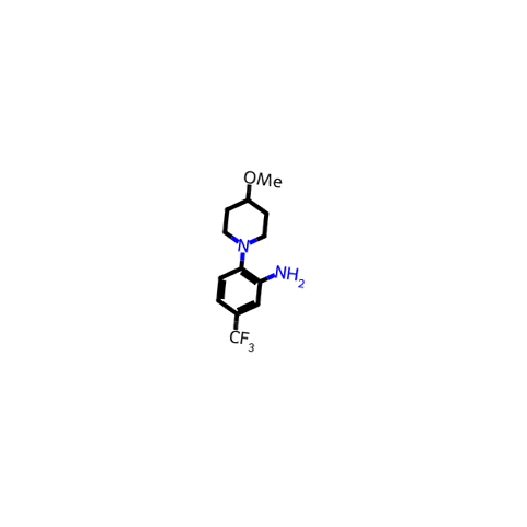 COC1CCN(c2ccc(C(F)(F)F)cc2N)CC1